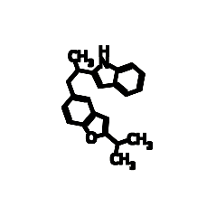 CC(C)c1cc2cc(CC(C)c3cc4ccccc4[nH]3)ccc2o1